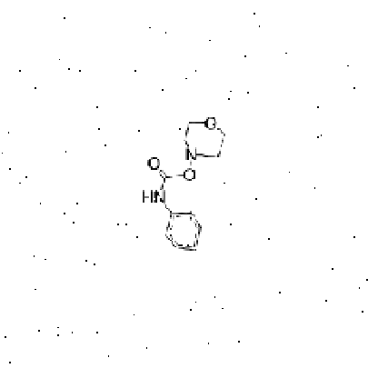 O=C(Nc1ccccc1)ON1CCOCC1